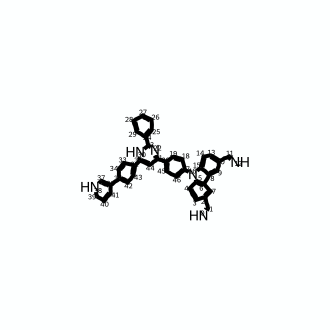 N=Cc1ccc2c(c1)c1cc(C=N)ccc1n2-c1ccc(C2=NC(c3ccccc3)NC(c3ccc(C4=CNCC=C4)cc3)=C2)cc1